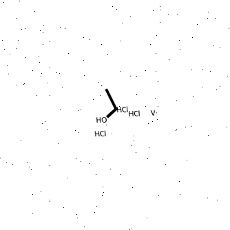 CCO.Cl.Cl.Cl.[V]